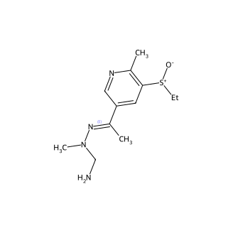 CC[S+]([O-])c1cc(/C(C)=N/N(C)CN)cnc1C